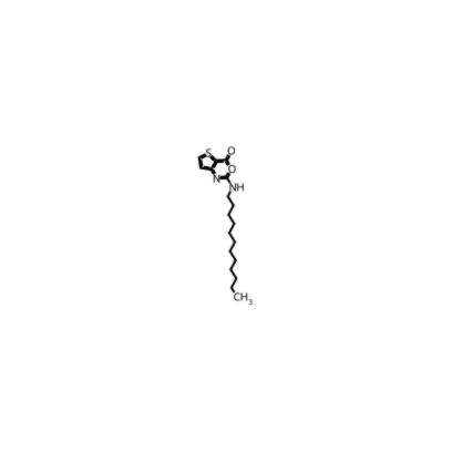 CCCCCCCCCCCCNc1nc2ccsc2c(=O)o1